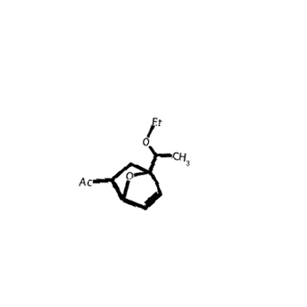 CCOC(C)C12C=CC(O1)C(C(C)=O)C2